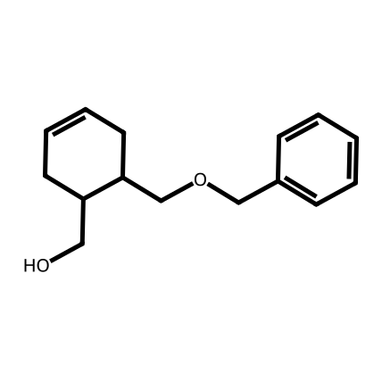 OCC1CC=CCC1COCc1ccccc1